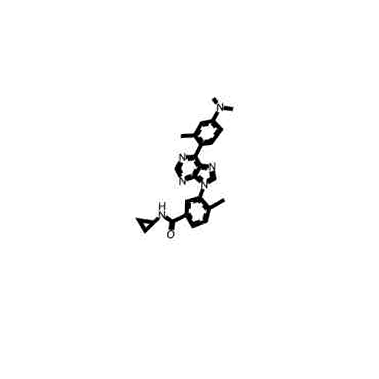 Cc1cc(N(C)C)ccc1-c1ncnc2c1ncn2-c1cc(C(=O)NC2CC2)ccc1C